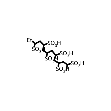 CCC(CC(CC(CC(CC(CC(C)S(=O)(=O)O)S(=O)(=O)O)S(=O)(=O)O)S(=O)(=O)O)S(=O)(=O)O)S(=O)(=O)O